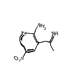 CC(=N)c1cc([N+](=O)[O-])cnc1N